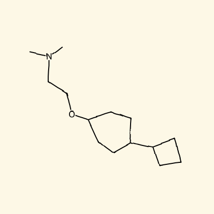 CN(C)CCOC1CCC(C2CCC2)CC1